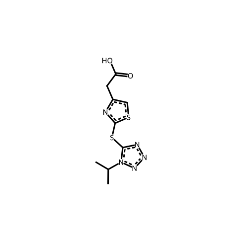 CC(C)n1nnnc1Sc1nc(CC(=O)O)cs1